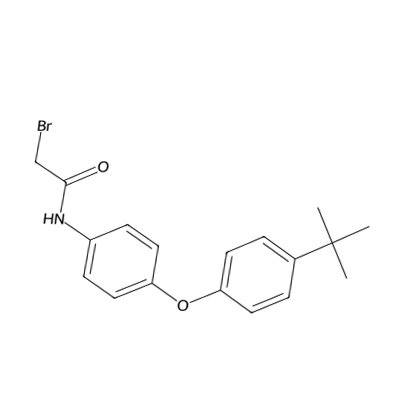 CC(C)(C)c1ccc(Oc2ccc(NC(=O)CBr)cc2)cc1